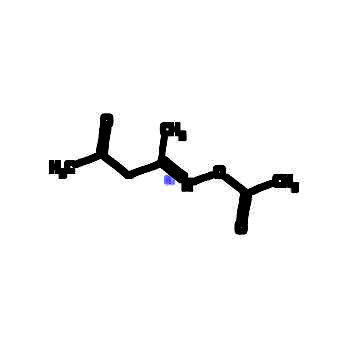 CC(=O)C/C(C)=N/OC(C)=O